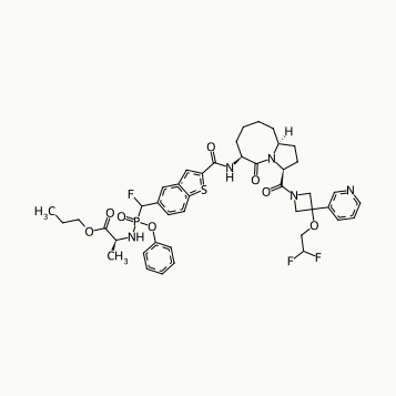 CCCOC(=O)[C@H](C)NP(=O)(Oc1ccccc1)C(F)c1ccc2sc(C(=O)N[C@H]3CCCC[C@H]4CC[C@@H](C(=O)N5CC(OCC(F)F)(c6cccnc6)C5)N4C3=O)cc2c1